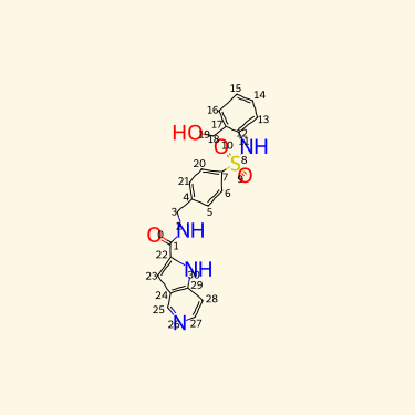 O=C(NCc1ccc(S(=O)(=O)Nc2ccccc2CO)cc1)c1cc2cnccc2[nH]1